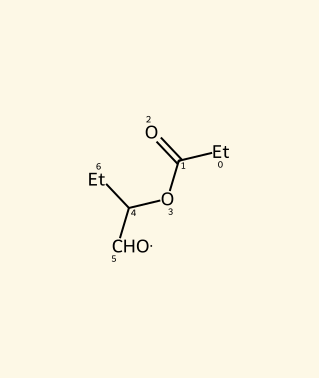 CCC(=O)OC([C]=O)CC